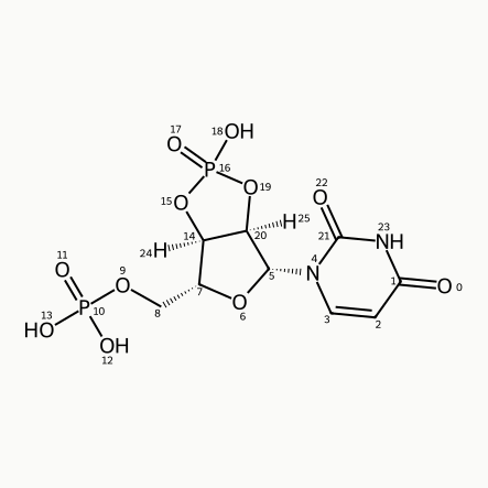 O=c1ccn([C@@H]2O[C@H](COP(=O)(O)O)[C@H]3OP(=O)(O)O[C@H]32)c(=O)[nH]1